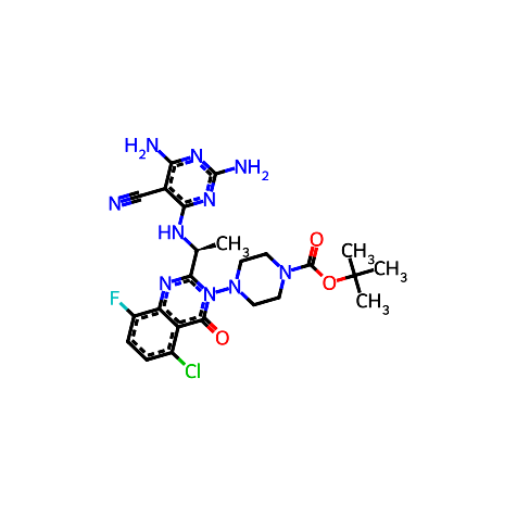 C[C@H](Nc1nc(N)nc(N)c1C#N)c1nc2c(F)ccc(Cl)c2c(=O)n1N1CCN(C(=O)OC(C)(C)C)CC1